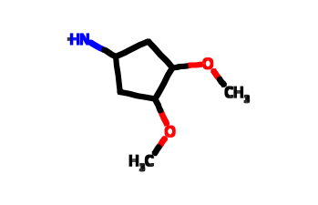 COC1CC([NH])CC1OC